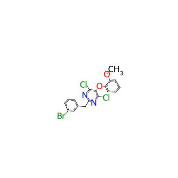 COc1ccccc1Oc1c(Cl)nc(Cc2cccc(Br)c2)nc1Cl